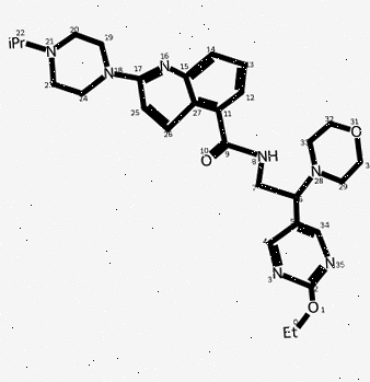 CCOc1ncc(C(CNC(=O)c2cccc3nc(N4CCN(C(C)C)CC4)ccc23)N2CCOCC2)cn1